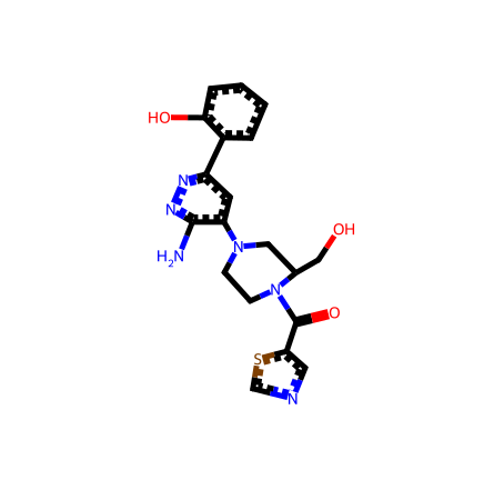 Nc1nnc(-c2ccccc2O)cc1N1CCN(C(=O)c2cncs2)C(CO)C1